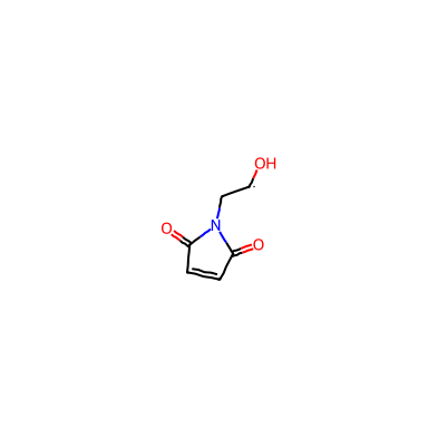 O=C1C=CC(=O)N1C[CH]O